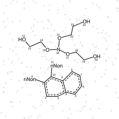 CCCCCCCCCc1ccc2ccccc2c1CCCCCCCCC.OCCON(OCCO)OCCO